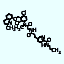 C=CCNC(=O)c1ccc(/C=C/C(=O)NCC(=O)N(C)c2ccc(Cl)c(COc3cccc4ccc(C)nc34)c2Cl)cn1